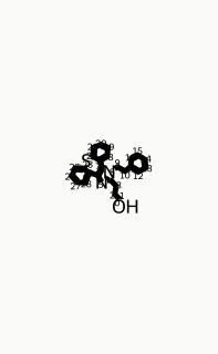 OCCCc1nc2c(n1CCc1ccccc1)-c1ccccc1Sc1ccccc1-2